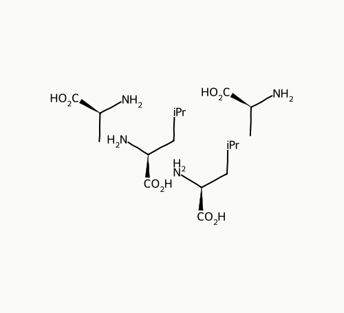 CC(C)C[C@H](N)C(=O)O.CC(C)C[C@H](N)C(=O)O.C[C@H](N)C(=O)O.C[C@H](N)C(=O)O